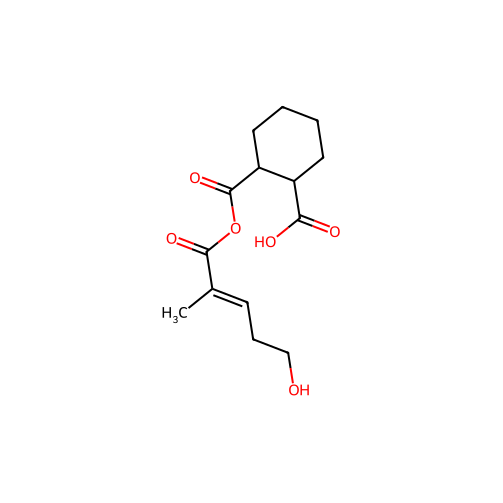 CC(=CCCO)C(=O)OC(=O)C1CCCCC1C(=O)O